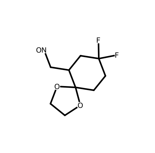 O=NCC1CC(F)(F)CCC12OCCO2